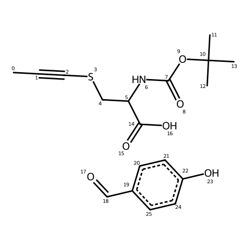 CC#CSCC(NC(=O)OC(C)(C)C)C(=O)O.O=Cc1ccc(O)cc1